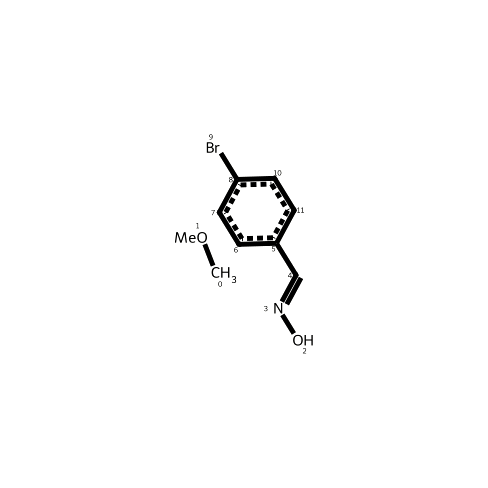 COC.ON=Cc1ccc(Br)cc1